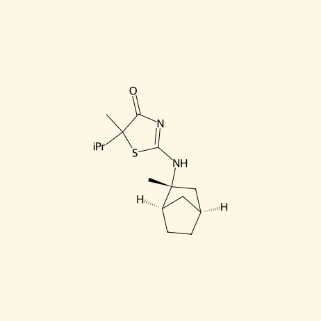 CC(C)C1(C)SC(N[C@]2(C)C[C@H]3CC[C@@H]2C3)=NC1=O